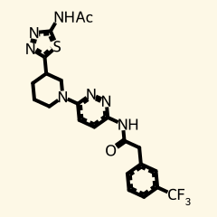 CC(=O)Nc1nnc(C2CCCN(c3ccc(NC(=O)Cc4cccc(C(F)(F)F)c4)nn3)C2)s1